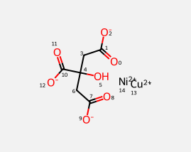 O=C([O-])CC(O)(CC(=O)[O-])C(=O)[O-].[Cu+2].[Ni+2]